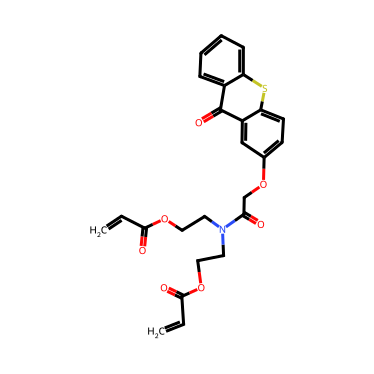 C=CC(=O)OCCN(CCOC(=O)C=C)C(=O)COc1ccc2sc3ccccc3c(=O)c2c1